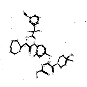 CCC(=O)N[C@H](Cc1ccc(NC(=O)[C@@H](NC(=O)C(F)(F)c2cccc(C#N)c2)C2CCCCCC2)c(F)c1)C(=O)N1CCC(C)(O)CC1